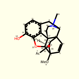 COC12C=CC3(C[C@@H]1C(C)=O)C1Cc4ccc(O)c5c4[C@@]3(CCN1C)[C@@H]2O5